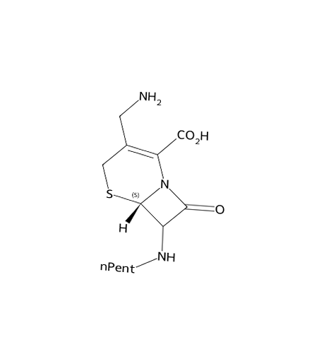 CCCCCNC1C(=O)N2C(C(=O)O)=C(CN)CS[C@@H]12